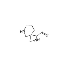 O=[C]C1NCC12CCCNC2